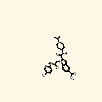 COC(=O)c1ccc2c(c1)cc(C(=O)NC1CCN(C(C)C)CC1)n2CC(=O)Nc1ccc(Cl)cn1